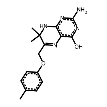 Cc1ccc(OCC2=Nc3c(O)nc(N)nc3NC2(C)C)cc1